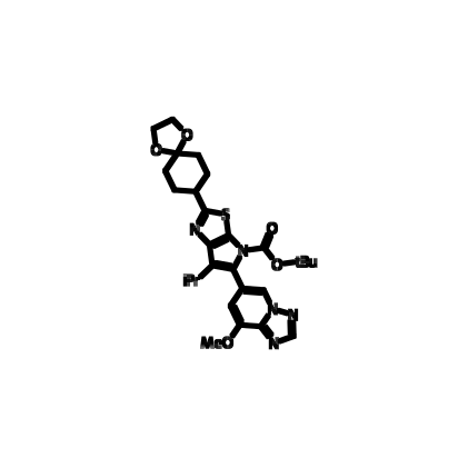 COc1cc(-c2c(C(C)C)c3nc(C4CCC5(CC4)OCCO5)sc3n2C(=O)OC(C)(C)C)cn2ncnc12